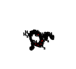 CO[C@@H]1C[C@H](C[C@@H](C)[C@@H]2CC(=O)[C@H](C)/C=C(\C)[C@@H](O)[C@@H](OC)C(=O)[C@H](C)C[C@H](C)/C=C/C=C/C=C(\C)[C@@H](OCCOC3COC3)C[C@@H]3CC[C@@H](C)[C@@](O)(O3)C(=O)C(=O)N3CCCC[C@H]3C(=O)O2)CC[C@H]1OC(=O)N(C)CCN1CCOCC1